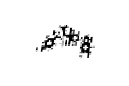 O=C(N[C@H](C1CC1)[C@H]1[C@@H]2C[C@@H](n3cnc4cc(F)c(F)cc43)C[C@@H]21)c1ccc(Cl)cc1